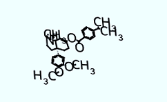 COc1ccc([C@@]23CCC(OC(=O)c4ccc(C(C)C)cc4)=C[C@@H]2N(C)CC3)cc1OC